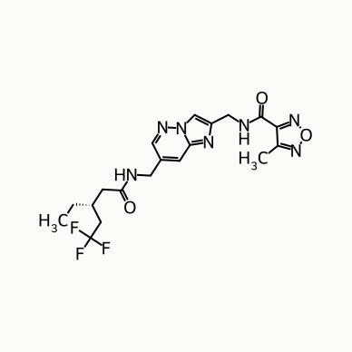 CC[C@H](CC(=O)NCc1cnn2cc(CNC(=O)c3nonc3C)nc2c1)CC(F)(F)F